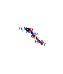 CCCC(=O)NCCOCCOCC(=O)NCCNC(=O)c1ccc(N)cc1